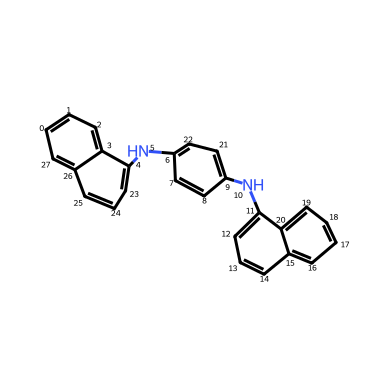 c1ccc2c(Nc3ccc(Nc4cccc5ccccc45)cc3)cccc2c1